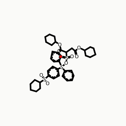 O=C(CC(C(=O)OC1CCCCC1)S(=O)(=O)OS(c1ccccc1)(c1ccccc1)c1ccc(S(=O)(=O)C2CCCCC2)cc1)OC1CCCCC1